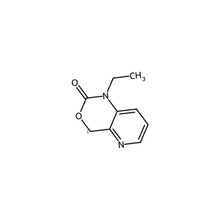 CCN1C(=O)O[C]c2ncccc21